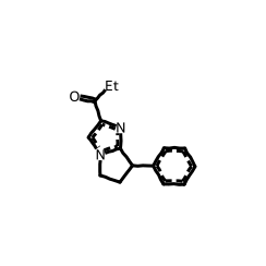 CCC(=O)c1cn2c(n1)C(c1ccccc1)CC2